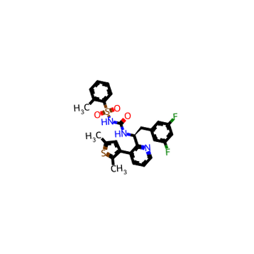 Cc1cc(-c2cccnc2[C@H](Cc2cc(F)cc(F)c2)NC(=O)NS(=O)(=O)c2ccccc2C)c(C)s1